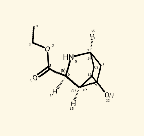 CCOC(=O)[C@H]1N[C@H]2CC[C@@H]1C(O)C2